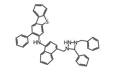 c1ccc(CN2NN(Cc3ccc(Nc4cc5sc6ccccc6c5cc4-c4ccccc4)c4ccccc34)C2c2ccccc2)cc1